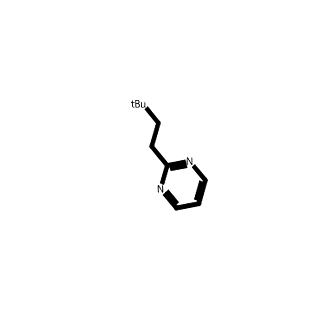 CC(C)(C)CCc1ncccn1